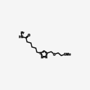 COCCOCc1cn(CCCCCC(=O)NC(C)C)nn1